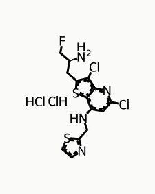 Cl.Cl.N[C@H](CF)Cc1sc2c(NCc3nccs3)cc(Cl)nc2c1Cl